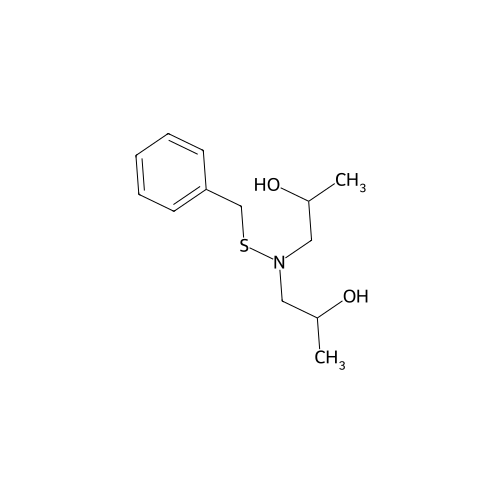 CC(O)CN(CC(C)O)SCc1ccccc1